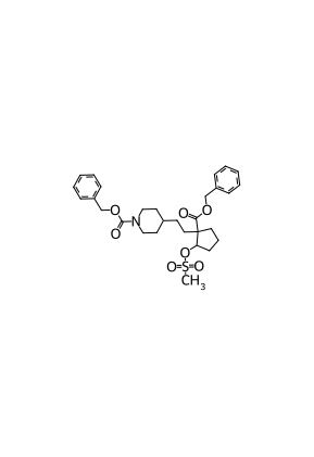 CS(=O)(=O)OC1CCCC1(CCC1CCN(C(=O)OCc2ccccc2)CC1)C(=O)OCc1ccccc1